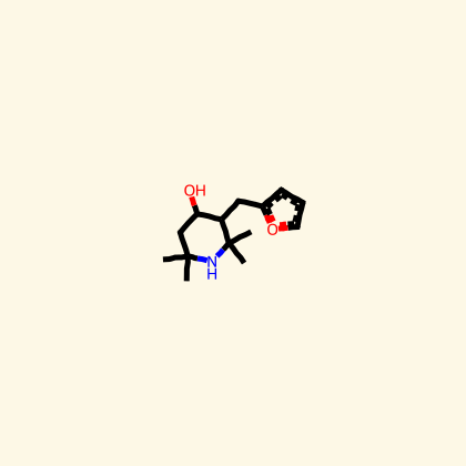 CC1(C)CC(O)C(Cc2ccco2)C(C)(C)N1